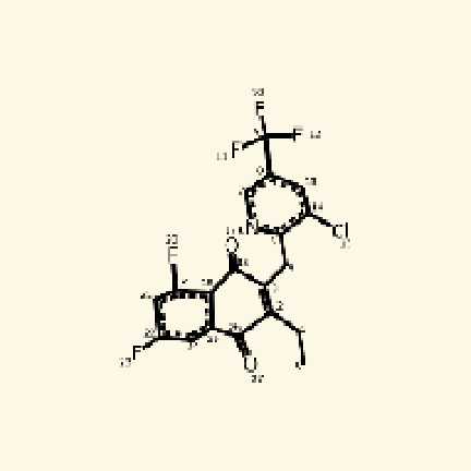 CCC1=C(Cc2ncc(C(F)(F)F)cc2Cl)C(=O)c2c(F)cc(F)cc2C1=O